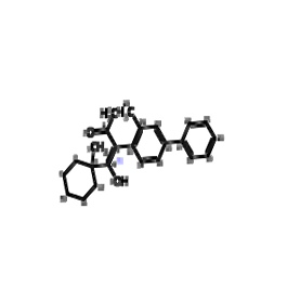 CC(=O)/C(=C(/O)C1(C)CCCCC1)c1ccc(-c2ccccc2)cc1C